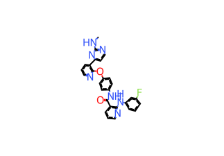 CNc1nccc(-c2cccnc2Oc2ccc(NC(=O)c3cccnc3Nc3cccc(F)c3)cc2)n1